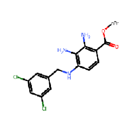 CCCOC(=O)c1ccc(NCc2cc(Cl)cc(Cl)c2)c(N)c1N